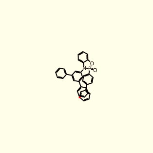 O=P1(c2ccc(-c3ccccc3)cc2)Oc2ccccc2N1c1cc(-c2ccccc2)cc(-c2ccccc2)c1